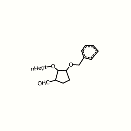 CCCCCCCOC1C(C=O)CCC1OCc1ccccc1